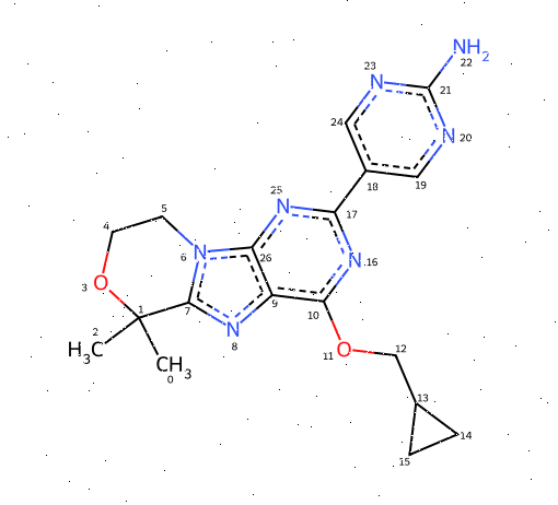 CC1(C)OCCn2c1nc1c(OCC3CC3)nc(-c3cnc(N)nc3)nc12